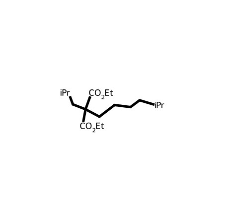 CCOC(=O)C(CCCCC(C)C)(CC(C)C)C(=O)OCC